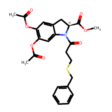 COC(=O)[C@@H]1Cc2cc(OC(C)=O)c(OC(C)=O)cc2N1C(=O)CCSCc1ccccc1